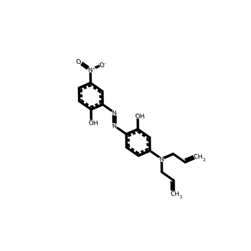 C=CCN(CC=C)c1ccc(/N=N/c2cc([N+](=O)[O-])ccc2O)c(O)c1